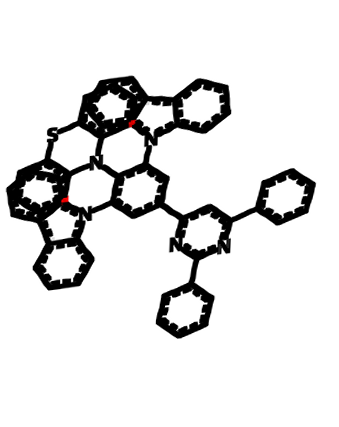 c1ccc(-c2cc(-c3cc(-n4c5ccccc5c5ccccc54)c(N4c5ccccc5Sc5ccccc54)c(-n4c5ccccc5c5ccccc54)c3)nc(-c3ccccc3)n2)cc1